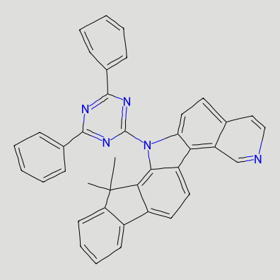 CC1(C)c2ccccc2-c2ccc3c4c5cnccc5ccc4n(-c4nc(-c5ccccc5)nc(-c5ccccc5)n4)c3c21